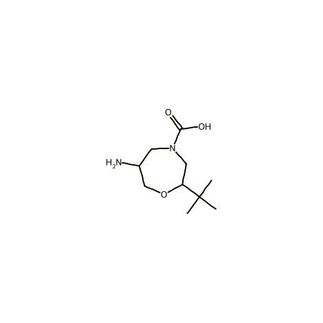 CC(C)(C)C1CN(C(=O)O)CC(N)CO1